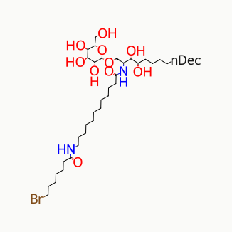 CCCCCCCCCCCCCC[C@@H](O)[C@@H](O)[C@H](CO[C@H]1O[C@H](CO)[C@H](O)[C@H](O)[C@H]1O)NC(=O)CCCCCCCCCCCNC(=O)CCCCCCBr